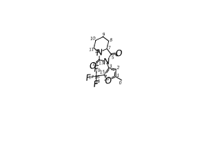 Cc1cc(N2C(=O)C3CCCCN3C2=O)c(C(F)(F)F)o1